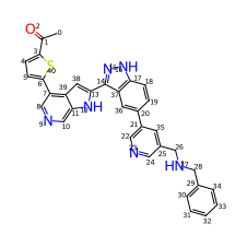 CC(=O)c1ccc(-c2cncc3[nH]c(-c4n[nH]c5ccc(-c6cncc(CNCc7ccccc7)c6)cc45)cc23)s1